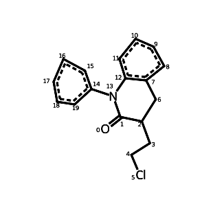 O=C1C(CCCl)Cc2ccccc2N1c1ccccc1